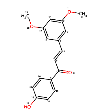 COc1cc(C=CC(=O)c2ccc(O)cc2)cc(OC)c1